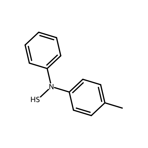 Cc1ccc(N(S)c2ccccc2)cc1